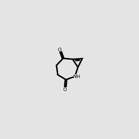 O=C1CCC(=O)C2=CC2N1